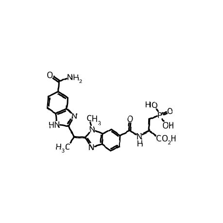 CC(c1nc2cc(C(N)=O)ccc2[nH]1)c1nc2ccc(C(=O)NC(CP(=O)(O)O)C(=O)O)cc2n1C